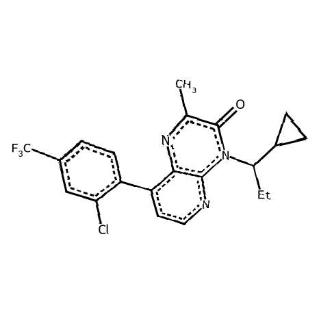 CCC(C1CC1)n1c(=O)c(C)nc2c(-c3ccc(C(F)(F)F)cc3Cl)ccnc21